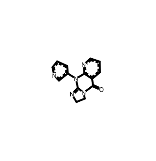 O=C1c2cccnc2N(c2cccnc2)C2=NCCN12